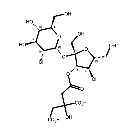 O=C(O)CC(O)(CC(=O)O[C@H]1[C@H](O)[C@@H](CO)O[C@@]1(CO)O[C@H]1O[C@H](CO)[C@@H](O)[C@H](O)[C@H]1O)C(=O)O